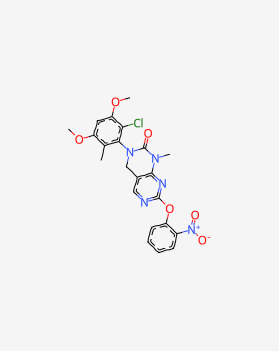 COc1cc(OC)c(Cl)c(N2Cc3cnc(Oc4ccccc4[N+](=O)[O-])nc3N(C)C2=O)c1C